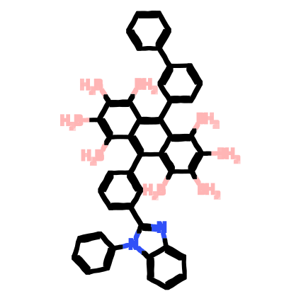 Bc1c(B)c(B)c2c(-c3cccc(-c4nc5ccccc5n4-c4ccccc4)c3)c3c(B)c(B)c(B)c(B)c3c(-c3cccc(-c4ccccc4)c3)c2c1B